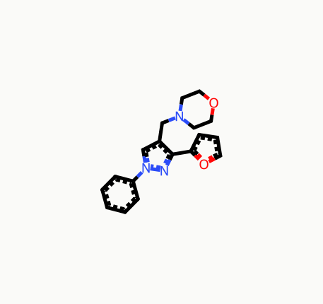 c1ccc(-n2cc(CN3CCOCC3)c(-c3ccco3)n2)cc1